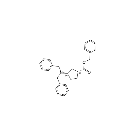 O=C(OCc1ccccc1)[C@@H]1CC[C@@H](N(Cc2ccccc2)Cc2ccccc2)C1